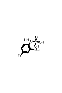 CCc1ccc(OP(=O)(O)O)c(C(C)(C)C)c1.[LiH]